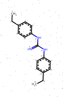 CCc1ccc(NC(=N)Nc2ccc(CC)cc2)cc1